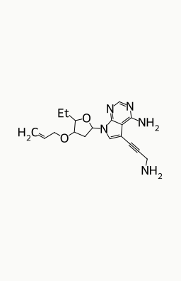 C=CCOC1CC(n2cc(C#CCN)c3c(N)ncnc32)OC1CC